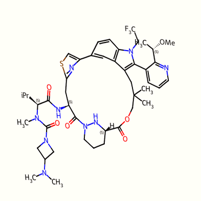 CO[C@@H](C)c1ncccc1-c1c2c3cc(ccc3n1CC(F)(F)F)-c1csc(n1)C[C@H](NC(=O)[C@H](C(C)C)N(C)C(=O)N1CC(N(C)C)C1)C(=O)N1CCC[C@H](N1)C(=O)OCC(C)(C)C2